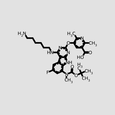 Cc1nc(C)c(C(=O)O)cc1Oc1nc(NCCCCCCN)c2c(n1)[nH]c1c(N(C)C(=O)OC(C)(C)C)cc(F)cc12